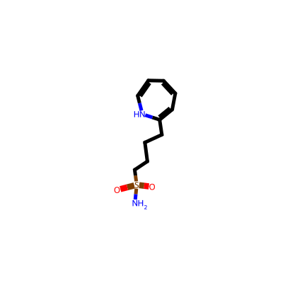 NS(=O)(=O)CCCCC1=CC=CC=CN1